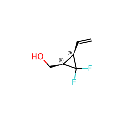 C=C[C@@H]1[C@H](CO)C1(F)F